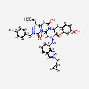 C=CCN1CC(=O)N2[C@@H](Cc3ccc(O)cc3)C(=O)N(Cc3cccc4cn(CC5CC5)nc34)C[C@@H]2N1C(=O)NCc1ccc(I)cc1